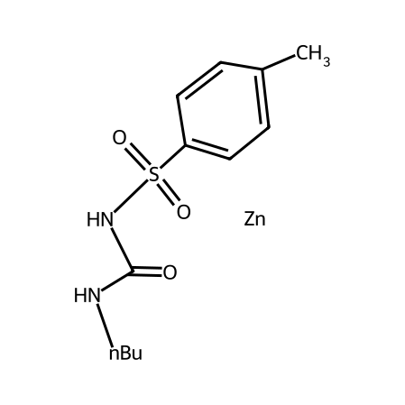 CCCCNC(=O)NS(=O)(=O)c1ccc(C)cc1.[Zn]